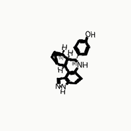 Oc1ccc([C@@H]2Nc3ccc4[nH]ncc4c3[C@H]3C4CC[C@@H](C4)[C@@H]23)cc1